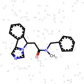 CN(Cc1ccccc1)C(=O)CC1c2ccccc2-c2cncn21